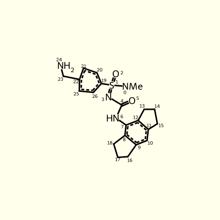 CNS(=O)(=NC(=O)Nc1c2c(cc3c1CCC3)CCC2)c1ccc(CN)cc1